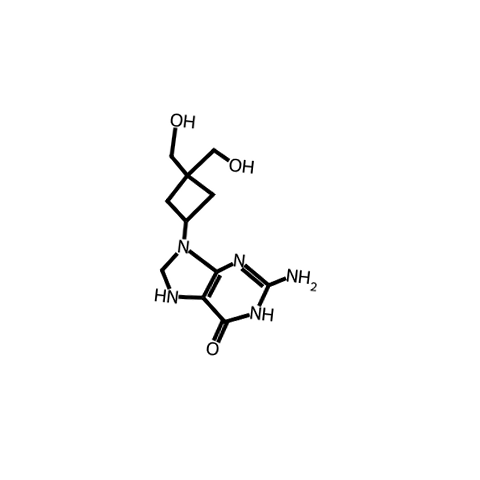 Nc1nc2c(c(=O)[nH]1)NCN2C1CC(CO)(CO)C1